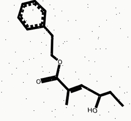 CCC(O)C=C(C)C(=O)OCCc1ccccc1